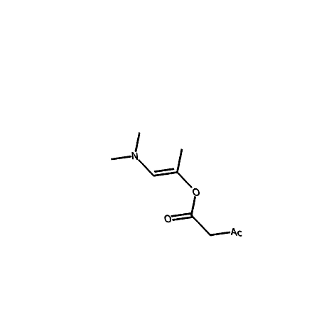 CC(=O)CC(=O)OC(C)=CN(C)C